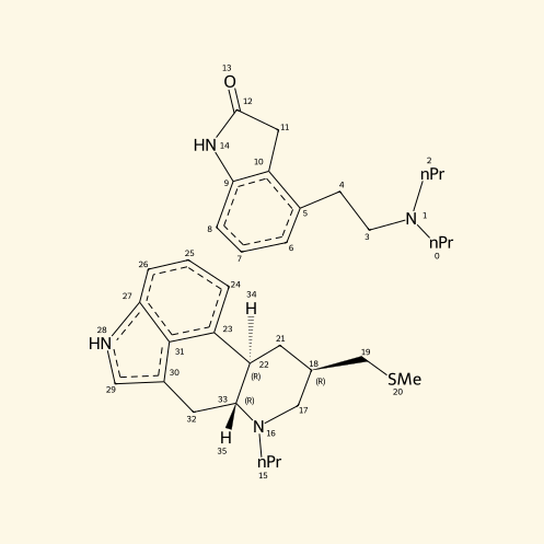 CCCN(CCC)CCc1cccc2c1CC(=O)N2.CCCN1C[C@H](CSC)C[C@@H]2c3cccc4[nH]cc(c34)C[C@H]21